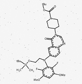 COc1cc(OC)c(F)c(N(CCO[Si](C)(C)C(C)(C)C)c2ccc3ncn(C4CCN(C(=O)OC(C)(C)C)CC4)c(=O)c3c2)c1F